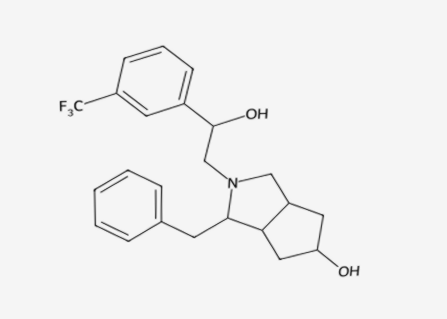 OC1CC2CN(CC(O)c3cccc(C(F)(F)F)c3)C(Cc3ccccc3)C2C1